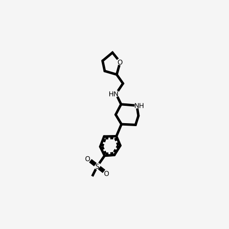 CS(=O)(=O)c1ccc(C2CCNC(NCC3CCCO3)C2)cc1